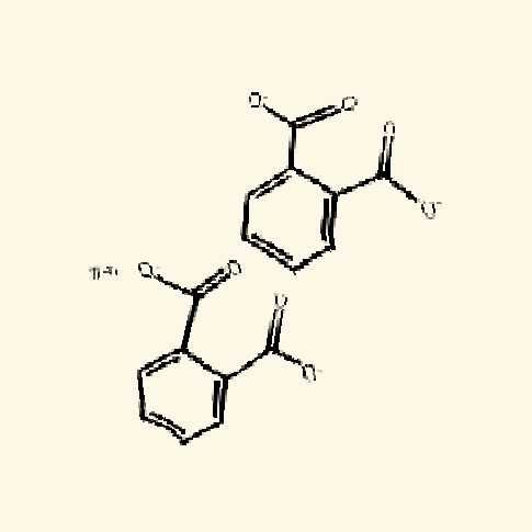 O=C([O-])c1ccccc1C(=O)[O-].O=C([O-])c1ccccc1C(=O)[O-].[Ti+4]